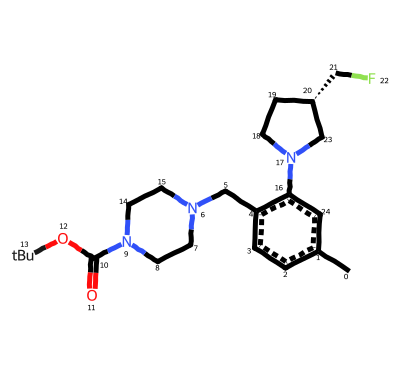 Cc1ccc(CN2CCN(C(=O)OC(C)(C)C)CC2)c(N2CC[C@H](CF)C2)c1